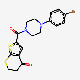 O=C1CCSc2sc(C(=O)N3CCN(c4ccc(Br)cc4)CC3)cc21